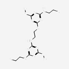 CCNc1nc(NCCN)nc(NCCNc2nc(NCCN)nc(SCC)n2)n1